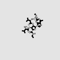 C=NNc1nc(C)c2ncn([C@@H]3O[C@H](C(=O)NCC)[C@@H](OC(=O)[C@@H](N)C(C)C)[C@H]3OC(=O)[C@@H](N)C(C)C)c2n1